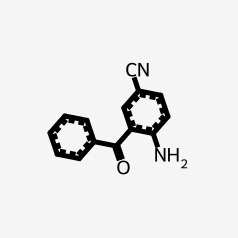 N#Cc1ccc(N)c(C(=O)c2ccccc2)c1